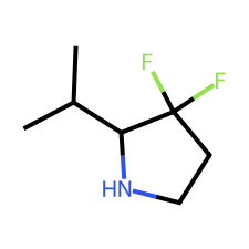 CC(C)C1NCCC1(F)F